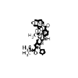 CN(C)C(=O)c1cc2cnc(Nc3ccc(C(=O)N4CCC5COCC(C(=O)OC(C)(C)C)(C4)N5)cn3)nc2n1C1CCCC1